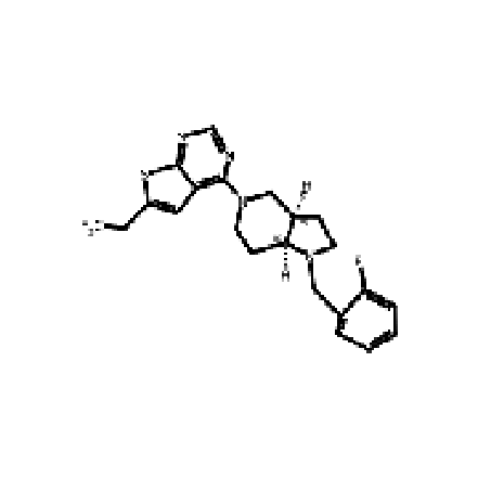 Fc1ccccc1CN1CC[C@@H]2CN(c3ncnc4sc(CC(F)(F)F)cc34)CC[C@@H]21